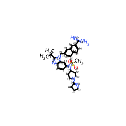 CC(C)c1nc2ccc(N(C3CCN(C4=NCCC4)CC3)S(C)(=O)=O)cc2n1Cc1ccc2ccc(C(=N)N)cc2c1